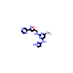 Cc1cc(Nc2cc[nH]n2)nc(NCc2cc(-c3cnccn3)no2)n1